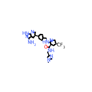 Cn1cnc(CNC(=O)c2cc(C(F)(F)F)cnc2NCc2ccc(-c3cnc4[nH]nc(N)c4c3)cc2)c1